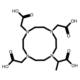 CC(C(=O)O)N1CCN(CC(=O)O)CCN(CC(=O)O)CCN(CC(=O)O)CC1